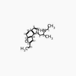 CCN[C@@H](C)Cn1ncc2ccc3oc(CC)cc3c21